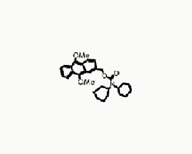 COc1c2ccccc2c(OC)c2cc(COC(=O)N(C3CCCCC3)C3CCCCC3)ccc12